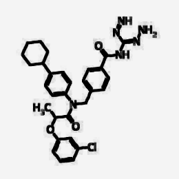 CC(Oc1cccc(Cl)c1)C(=O)N(Cc1ccc(C(=O)N/C(N=N)=N/N)cc1)c1ccc(C2CCCCC2)cc1